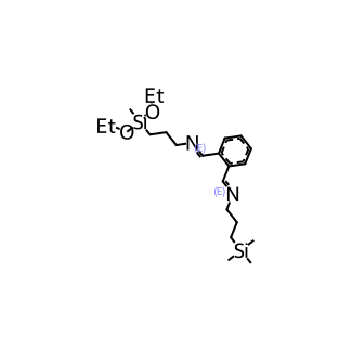 CCO[Si](C)(CCC/N=C/c1ccccc1/C=N/CCC[Si](C)(C)C)OCC